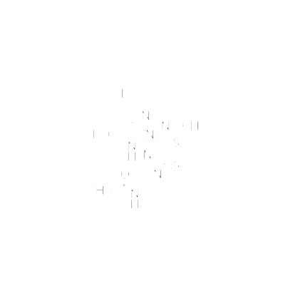 CC(=O)NC1CCN(C(=O)c2nc(NC(C)c3cncc(F)c3)nc3nc(C)sc23)C1